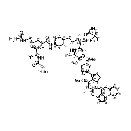 CC[C@H](C)[C@@H]([C@@H](CC(=O)N1CCC[C@H]1[C@H](OC)[C@@H](C)C(=O)N[C@@H](Cc1ccccc1)c1nccs1)OC)N(C)C(=O)[C@@H](NC(=O)[C@H](C(C)C)N(C)CCc1ccc(NC(=O)[C@H](CCCNC(N)=O)NC(=O)[C@@H](NC(=O)OC(C)(C)C)C(C)C)cc1)C(C)C.O=C(O)C(F)(F)F